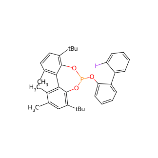 Cc1cc(C(C)(C)C)c2op(Oc3ccccc3-c3ccccc3I)oc3c(C(C)(C)C)ccc(C)c3c2c1C